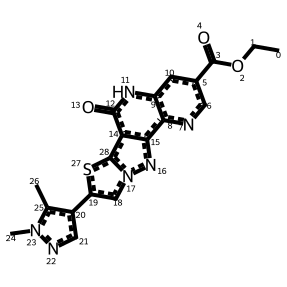 CCOC(=O)c1cnc2c(c1)[nH]c(=O)c1c2nn2cc(-c3cnn(C)c3C)sc12